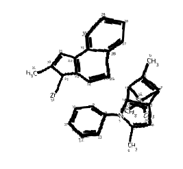 CC1=C2c3cc(C)n(-c4ccccc4)c3C1[Si]2(C)C.CC1=Cc2c(ccc3ccccc23)[CH]1[Zr]